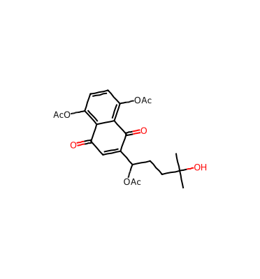 CC(=O)Oc1ccc(OC(C)=O)c2c1C(=O)C=C(C(CCC(C)(C)O)OC(C)=O)C2=O